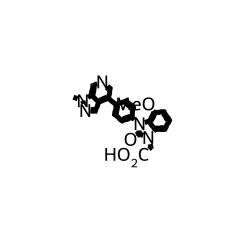 COc1cccc2c1n(-c1ccc(-c3cncc4c3cnn4C)cc1)c(=O)n2CC(=O)O